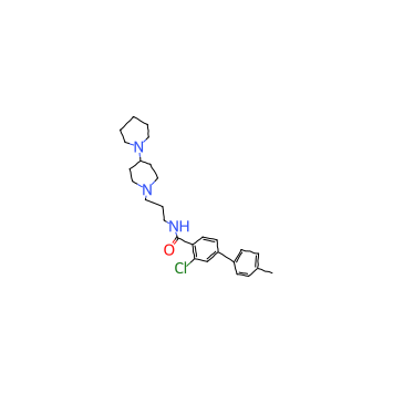 Cc1ccc(-c2ccc(C(=O)NCCCN3CCC(N4CCCCC4)CC3)c(Cl)c2)cc1